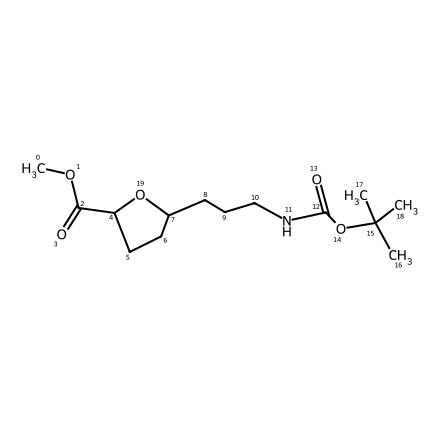 COC(=O)C1CCC(CCCNC(=O)OC(C)(C)C)O1